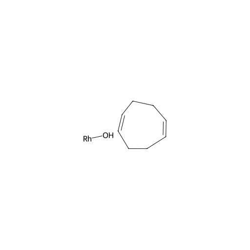 C1=C\CC/C=C\CC/1.[OH][Rh]